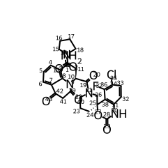 NC(=O)c1cccc2c1N([C@@H](CC(=O)N1CCCC1)C(=O)N1CCC[C@@]3(C1)OC(=O)Nc1ccc(Cl)c(F)c13)C(=O)CC2=O